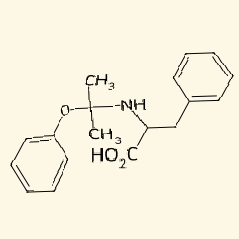 CC(C)(NC(Cc1ccccc1)C(=O)O)Oc1ccccc1